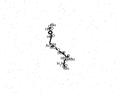 CC(=O)[C@H](CCCCNC(=O)c1ccc(NC(=O)OC(C)(C)C)cc1)NC(=O)COCCOCCNC(=O)CCC(NC(=O)CC[C@H](N)C(=O)OC(C)(C)C)C(=O)OC(C)(C)C